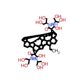 C=Cc1c2ccc3c4c5c6c(c7ccc8c9c%10c(c%11cc%12c1c1c2c3c5c2c1c1c%12c%11c9c3c8c7c6c2c31)C%10(C(=O)NC(CO)CO)C(O)NC(CO)CO)C1C4C1(C(=O)NC(CO)CO)C(O)NC(CO)CO